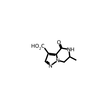 CC1Cn2ncc(C(=O)O)c2C(=O)N1